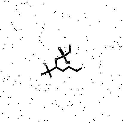 CCCCC(OP(=O)(O)OC)C(F)(F)F